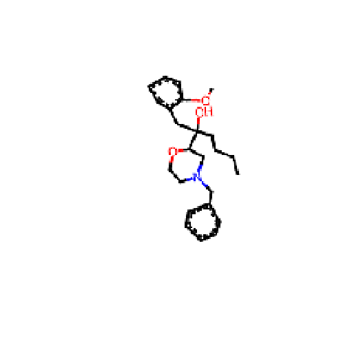 CCCCC(O)(Cc1ccccc1OC)C1CN(Cc2ccccc2)CCO1